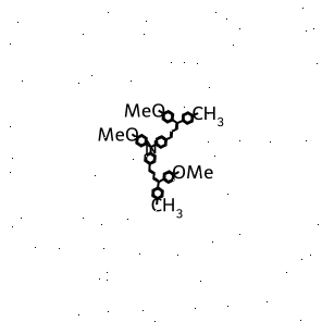 COc1ccc(/C(=C\C=C\c2ccc(N(c3ccc(/C=C/C=C(/c4ccc(C)cc4)c4ccc(OC)cc4)cc3)c3ccc(OC)cc3)cc2)c2ccc(C)cc2)cc1